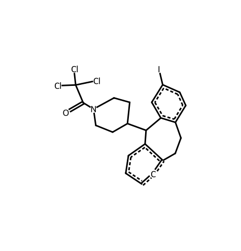 O=C(N1CCC(C2c3ccccc3CCc3ccc(I)cc32)CC1)C(Cl)(Cl)Cl